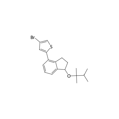 C[C](C)C(C)(C)OC1CCc2c(-c3cc(Br)cs3)cccc21